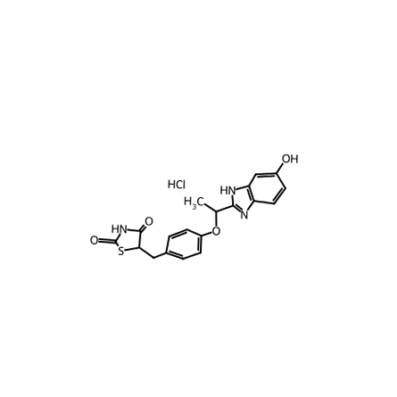 CC(Oc1ccc(CC2SC(=O)NC2=O)cc1)c1nc2ccc(O)cc2[nH]1.Cl